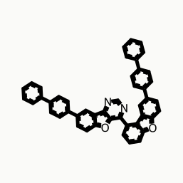 c1ccc(-c2ccc(-c3ccc4oc5c(-c6cccc7oc8ccc(-c9ccc(-c%10ccccc%10)cc9)cc8c67)ncnc5c4c3)cc2)cc1